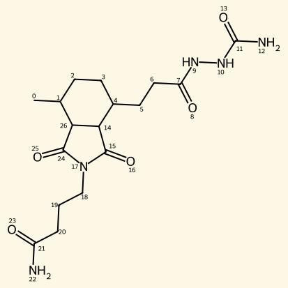 CC1CCC(CCC(=O)NNC(N)=O)C2C(=O)N(CCCC(N)=O)C(=O)C12